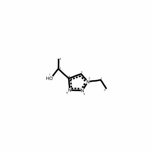 CCn1cc(C(C)O)nn1